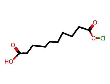 O=C(O)CCCCCCCCC(=O)OCl